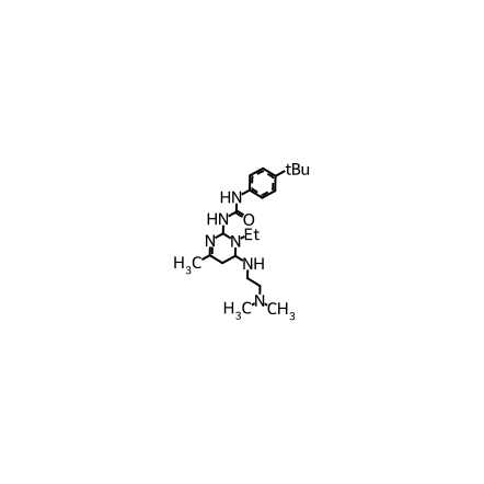 CCN1C(NCCN(C)C)CC(C)=NC1NC(=O)Nc1ccc(C(C)(C)C)cc1